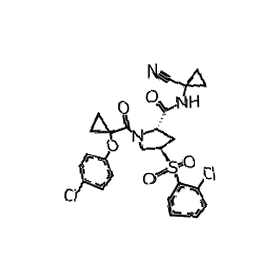 N#CC1(NC(=O)[C@@H]2C[C@@H](S(=O)(=O)c3ccccc3Cl)CN2C(=O)C2(Oc3ccc(Cl)cc3)CC2)CC1